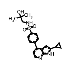 CC(C)(O)CNS(=O)(=O)c1ccc(-c2ccnc3[nH]c(C4CC4)cc23)cc1